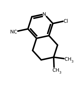 CC1(C)CCc2c(C#N)cnc(Cl)c2C1